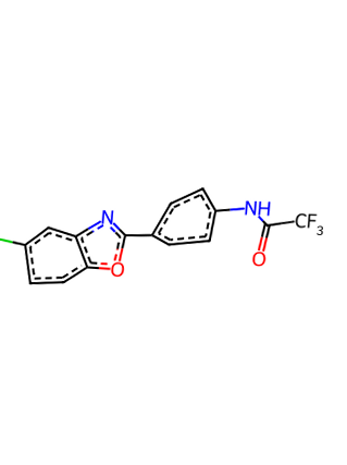 O=C(Nc1ccc(-c2nc3cc(Cl)ccc3o2)cc1)C(F)(F)F